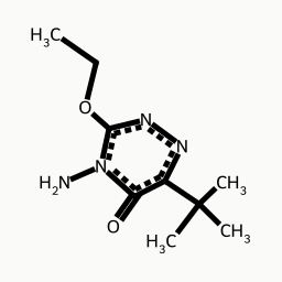 CCOc1nnc(C(C)(C)C)c(=O)n1N